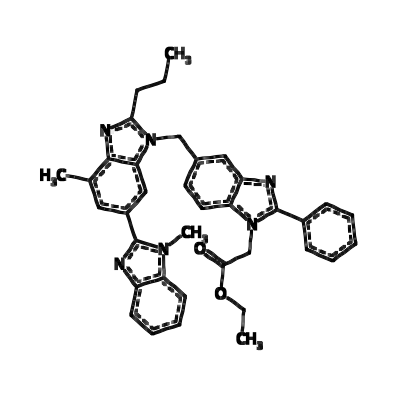 CCCc1nc2c(C)cc(-c3nc4ccccc4n3C)cc2n1Cc1ccc2c(c1)nc(-c1ccccc1)n2CC(=O)OCC